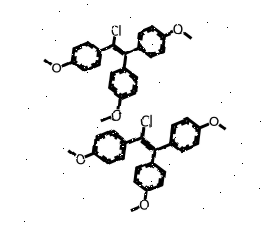 COc1ccc(C(Cl)=C(c2ccc(OC)cc2)c2ccc(OC)cc2)cc1.COc1ccc(C(Cl)=C(c2ccc(OC)cc2)c2ccc(OC)cc2)cc1